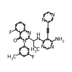 CCC(Nc1ncnc(N)c1C#Cc1cnccn1)c1nc2cccc(F)c2c(=O)n1-c1cc(C)cc(F)c1